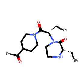 C[CH]C(=O)C1CCN(C(=O)[C@H](CC(C)C)N2CCN[C@@H](CC(C)C)C2=O)CC1